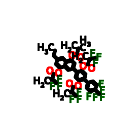 C=C(C)C(=O)Oc1cc(-c2cc(OC(=O)C(=C)C(F)(F)F)c(-c3cc(F)c(C(F)(F)F)c(F)c3)cc2OC(=O)C(=C)C(F)(F)F)cc2c(OC(=O)C(=C)C(F)(F)F)cc(CCC)cc12